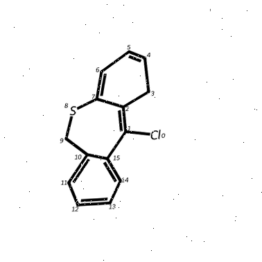 ClC1=C2CC=CC=C2SCc2ccccc21